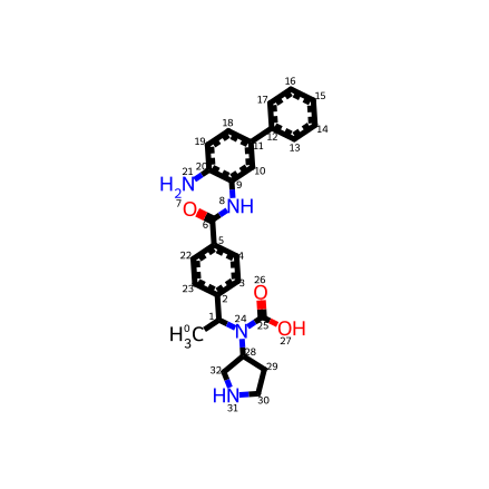 CC(c1ccc(C(=O)Nc2cc(-c3ccccc3)ccc2N)cc1)N(C(=O)O)C1CCNC1